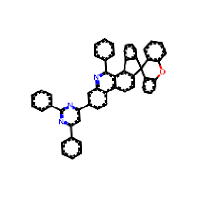 c1ccc(-c2cc(-c3ccc4c(c3)nc(-c3ccccc3)c3c5c(ccc34)C3(c4ccccc4Oc4ccccc43)c3ccccc3-5)nc(-c3ccccc3)n2)cc1